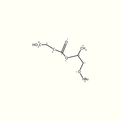 CCCCOCC(C)OC(=O)CCC(=O)O